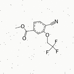 COC(=O)c1ccc(C#N)c(OCC(F)(F)F)c1